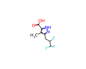 Cc1c(CC(F)C(F)F)n[nH]c1C(=O)O